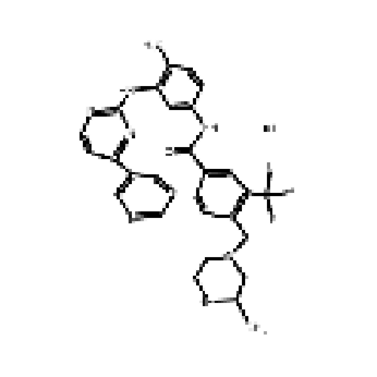 Cc1ccc(NC(=O)c2ccc(CN3CCNC(C)C3)c(C(F)(F)F)c2)cc1Nc1nccc(-c2cncnc2)n1.Cl